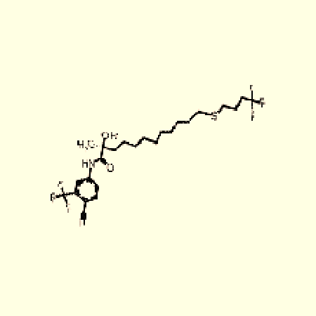 C[C@](O)(CCCCCCCCCCSCCCC(F)(F)F)C(=O)Nc1ccc(C#N)c(C(F)(F)F)c1